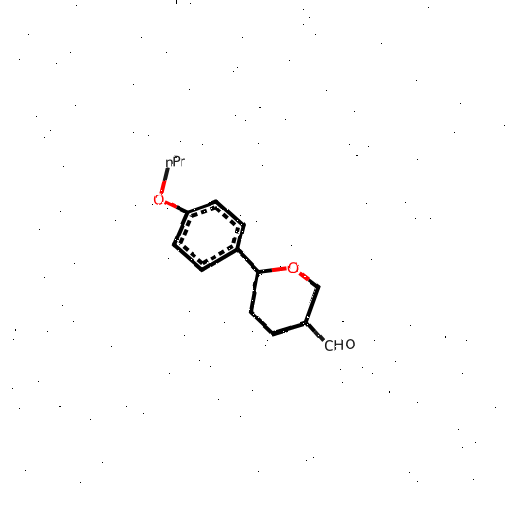 CCCOc1ccc(C2CCC(C=O)CO2)cc1